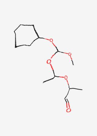 COC(OC1CCCCC1)OC(C)OC(C)C=O